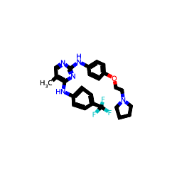 Cc1cnc(Nc2ccc(OCCN3CCCC3)cc2)nc1Nc1ccc(C(F)(F)F)cc1